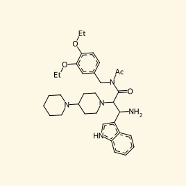 CCOc1ccc(CN(C(C)=O)C(=O)C(C(N)c2c[nH]c3ccccc23)N2CCC(N3CCCCC3)CC2)cc1OCC